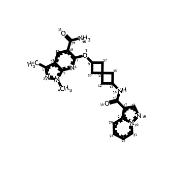 Cc1nn(C)c2nc(OC3CC4(CC(NC(=O)c5cnn6ccccc56)C4)C3)c(C(N)=O)cc12